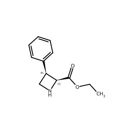 CCOC(=O)[C@H]1NC[C@H]1c1ccccc1